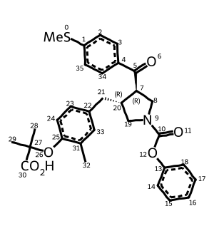 CSc1ccc(C(=O)[C@H]2CN(C(=O)Oc3ccccc3)C[C@@H]2Cc2ccc(OC(C)(C)C(=O)O)c(C)c2)cc1